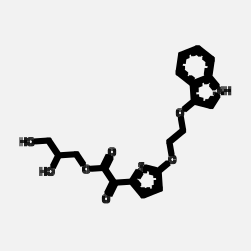 O=C(OCC(O)CO)C(=O)c1ccc(OCCOc2c[nH]c3ccccc23)s1